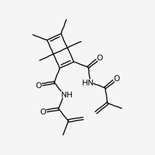 C=C(C)C(=O)NC(=O)C1=C(C(=O)NC(=O)C(=C)C)C2(C)C(C)=C(C)C12C